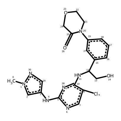 Cn1cc(Nc2ncc(Cl)c(NC(CO)c3cccc(N4CCOCC4=O)c3)n2)cn1